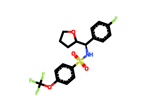 O=S(=O)(N[C@H](c1ccc(F)cc1)C1CCCO1)c1ccc(OC(F)(F)F)cc1